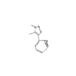 Cc1c(-c2ccccn2)nnn1C